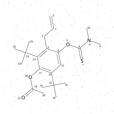 C=CCc1c(OC(=S)N(C)C)cc(C(C)(C)C)c(OC(C)=O)c1C(C)(C)C